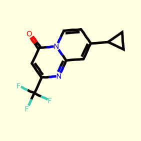 O=c1cc(C(F)(F)F)nc2cc(C3CC3)ccn12